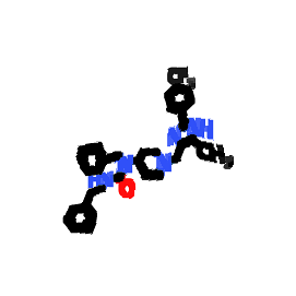 Cc1[nH]c(-c2ccc(C(F)(F)F)cc2)nc1CN1CCC(N(Cc2ccccc2)C(=O)NCCc2ccccc2)CC1